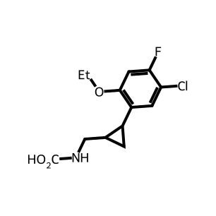 CCOc1cc(F)c(Cl)cc1C1CC1CNC(=O)O